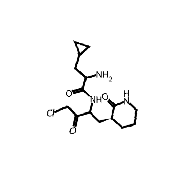 NC(CC1CC1)C(=O)NC(C[C@@H]1CCCNC1=O)C(=O)CCl